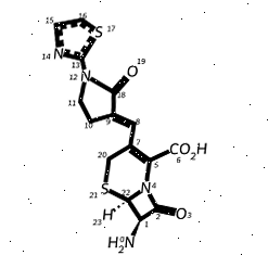 N[C@@H]1C(=O)N2C(C(=O)O)=C(/C=C3\CCN(c4nccs4)C3=O)CS[C@H]12